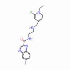 CCN1CC=C(CNCCNC(=O)c2cnc3cc(I)ccc3n2)C=C1F